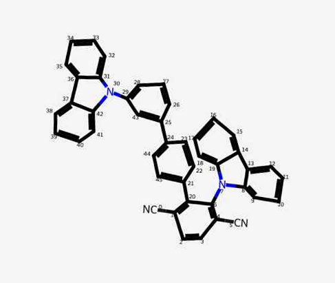 N#Cc1ccc(C#N)c(-n2c3ccccc3c3ccccc32)c1-c1ccc(-c2cccc(-n3c4ccccc4c4ccccc43)c2)cc1